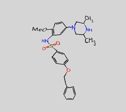 COc1ccc(N2CC(C)NC(C)C2)cc1NS(=O)(=O)c1ccc(OCc2ccccc2)cc1